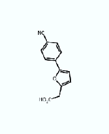 N#Cc1ccc(-c2ccc(CC(=O)O)o2)cc1